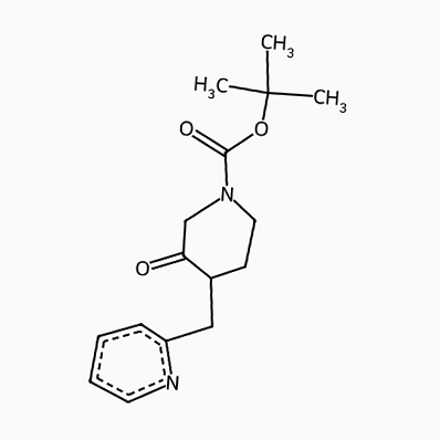 CC(C)(C)OC(=O)N1CCC(Cc2ccccn2)C(=O)C1